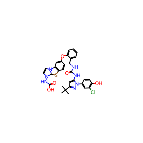 CC(C)(C)c1cc(NC(=O)NCc2ccccc2Oc2ccc3c(c2)N2C=CN(NC(=O)O)C2S3)n(-c2ccc(O)c(Cl)c2)n1